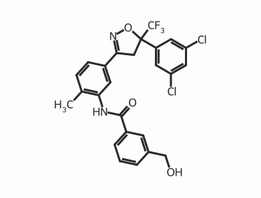 Cc1ccc(C2=NOC(c3cc(Cl)cc(Cl)c3)(C(F)(F)F)C2)cc1NC(=O)c1cccc(CO)c1